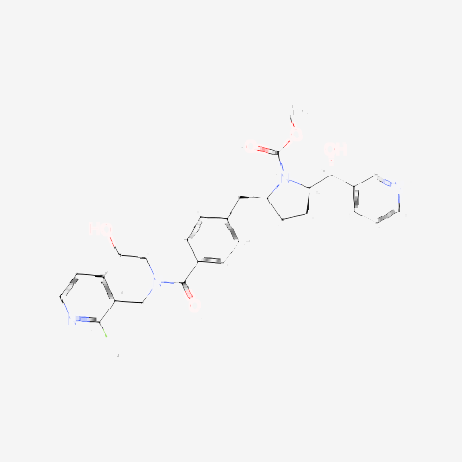 CC(C)(C)OC(=O)N1[C@H](Cc2ccc(C(=O)N(CCO)Cc3cccnc3F)cc2)CC[C@@H]1[C@H](O)c1cccnc1